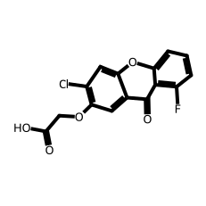 O=C(O)COc1cc2c(=O)c3c(F)cccc3oc2cc1Cl